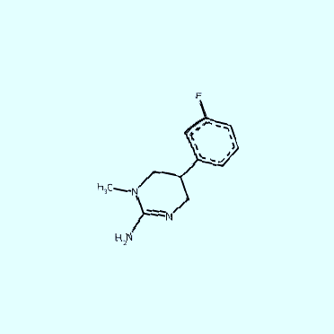 CN1CC(c2cccc(F)c2)CN=C1N